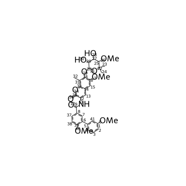 COc1cccc(-c2cc(C(=O)Nc3cc4cc(OC)c(OC5OC(C)(C)C(OC)C(O)C5O)c(C)c4oc3=O)ccc2OC)c1